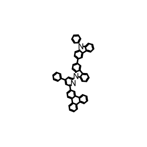 c1ccc(-c2cc(-c3ccc4c5ccccc5c5ccccc5c4c3)nc(-n3c4ccccc4c4cc(-c5ccc6c(c5)c5ccccc5n6-c5ccccc5)ccc43)c2)cc1